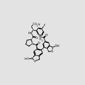 NC(=O)c1cc2c(c(-c3cc4c(cc3C(=O)N3CCC[C@H]3C(=O)N[C@@H](CC(=O)O)c3cccc(F)c3)B(O)OC4)c1)COB2O